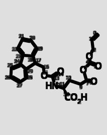 C=CCOC(=O)OC(=O)CC[C@H](NC(=O)OCC1c2ccccc2-c2ccccc21)C(=O)O